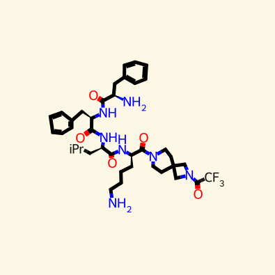 CC(C)C[C@@H](NC(=O)[C@@H](Cc1ccccc1)NC(=O)[C@H](N)Cc1ccccc1)C(=O)N[C@H](CCCCN)C(=O)N1CCC2(CC1)CN(C(=O)C(F)(F)F)C2